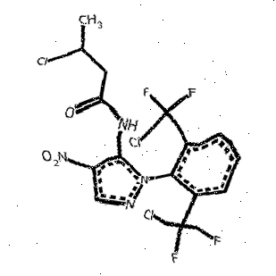 CC(Cl)CC(=O)Nc1c([N+](=O)[O-])cnn1-c1c(C(F)(F)Cl)cccc1C(F)(F)Cl